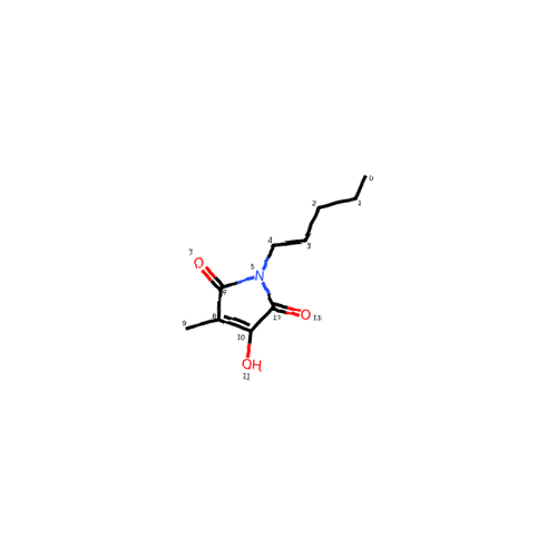 CCCCCN1C(=O)C(C)=C(O)C1=O